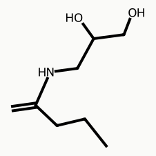 C=C(CCC)NCC(O)CO